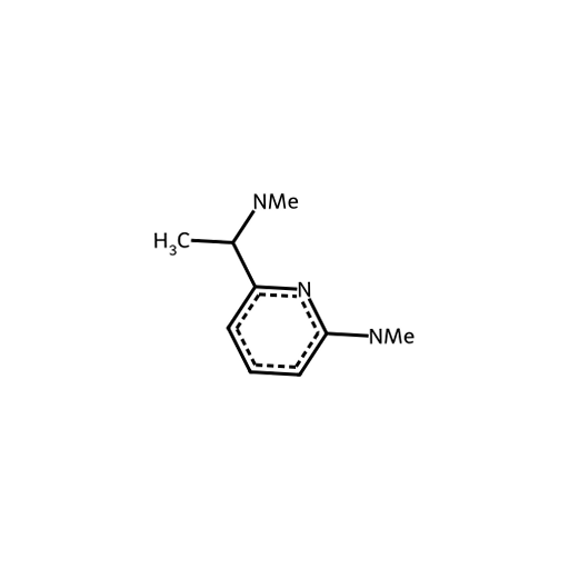 CNc1cccc(C(C)NC)n1